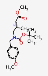 COC(=O)/C=C(\C)CN(Cc1ccc(OC)cc1)C(=O)OC(C)(C)C